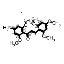 COc1cc(OC)c(C=CC(=O)c2c(OC)cc(N)cc2OC)c(OC)c1